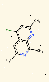 Cc1cc2c(Cl)cc(C)nc2c(C)n1